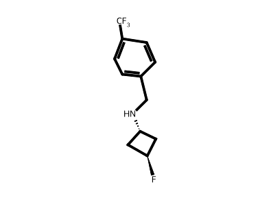 FC(F)(F)c1ccc(CN[C@H]2C[C@H](F)C2)cc1